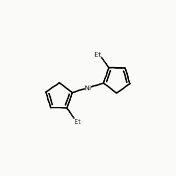 CCC1=[C]([Ni][C]2=C(CC)C=CC2)CC=C1